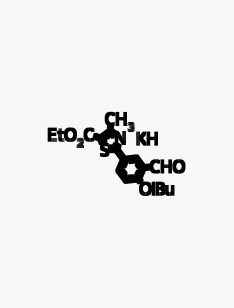 CCOC(=O)c1sc(-c2ccc(OCC(C)C)c(C=O)c2)nc1C.[KH]